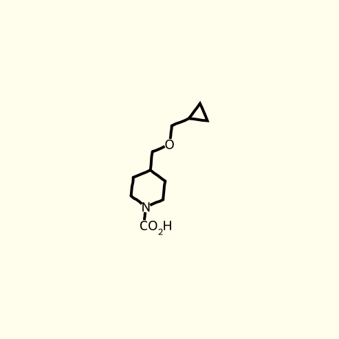 O=C(O)N1CCC(COCC2CC2)CC1